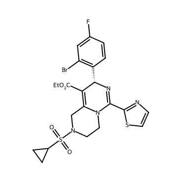 CCOC(=O)C1=C2CN(S(=O)(=O)C3CC3)CCN2C(c2nccs2)=N[C@H]1c1ccc(F)cc1Br